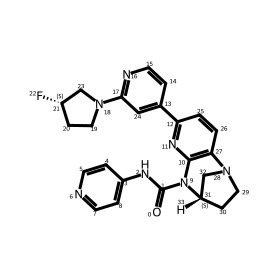 O=C(Nc1ccncc1)N1c2nc(-c3ccnc(N4CC[C@H](F)C4)c3)ccc2N2CC[C@H]1C2